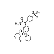 CCS(=O)(=O)c1ccc(C(C(N)=O)C2=CC(C#N)(Oc3cccc(F)c3)C(c3ccccc3)C=C2)cc1